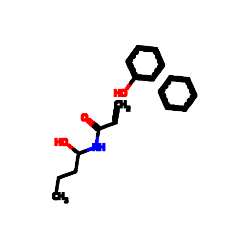 C=CC(=O)NC(O)CCC.Oc1ccccc1.c1ccccc1